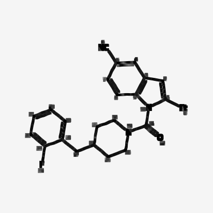 CCc1cc2cc(C#N)ccc2n1C(=O)N1CCC(Cc2ccccc2F)CC1